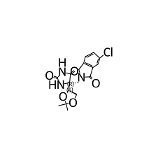 CC1(C)OC[C@H]([C@@]2(CN3Cc4ccc(Cl)cc4C3=O)NC(=O)NC2=O)O1